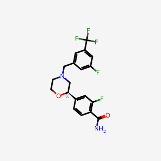 NC(=O)c1ccc([C@@H]2CN(Cc3cc(F)cc(C(F)(F)F)c3)CCO2)cc1F